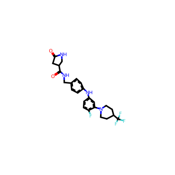 O=C1CC(C(=O)NCc2ccc(Nc3ccc(F)c(N4CCC(C(F)(F)F)CC4)c3)cc2)CN1